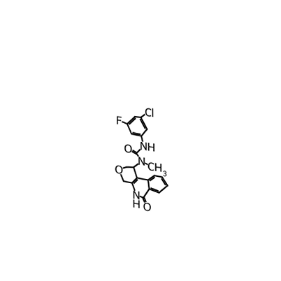 CN(C(=O)Nc1cc(F)cc(Cl)c1)C1COCc2[nH]c(=O)c3ccccc3c21